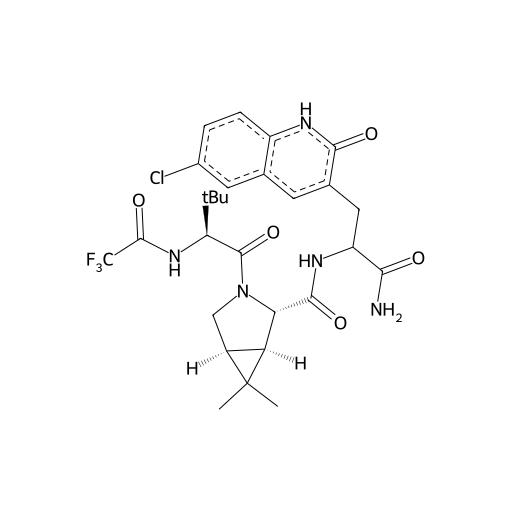 CC(C)(C)[C@H](NC(=O)C(F)(F)F)C(=O)N1C[C@H]2[C@@H]([C@H]1C(=O)NC(Cc1cc3cc(Cl)ccc3[nH]c1=O)C(N)=O)C2(C)C